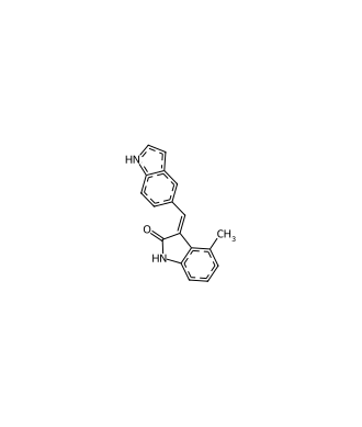 Cc1cccc2c1C(=Cc1ccc3[nH]ccc3c1)C(=O)N2